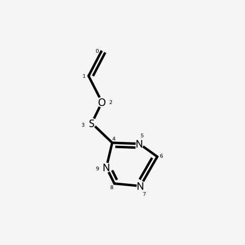 C=COSc1ncncn1